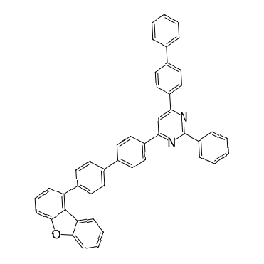 c1ccc(-c2ccc(-c3cc(-c4ccc(-c5ccc(-c6cccc7oc8ccccc8c67)cc5)cc4)nc(-c4ccccc4)n3)cc2)cc1